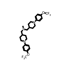 CN(CC1CCN(c2ccc(OC(F)(F)F)cc2)CC1)CC1CCN(c2ccc(OC(F)(F)F)cc2)CC1